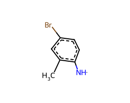 Cc1cc(Br)ccc1[NH]